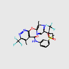 Cc1nc(C2(C(F)(F)F)CCC2)cnc1Oc1nnc(C(F)(F)F)c(C)c1C(=O)Nc1cccc(S(C)(=O)=O)c1